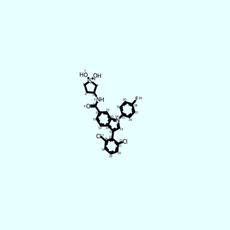 O=C(NC1CCS(O)(O)C1)c1ccc2c(-c3c(Cl)cccc3Cl)cn(-c3ccc(F)cc3)c2c1